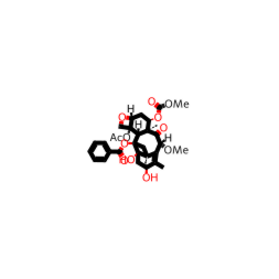 COC(=O)O[C@H]1C[C@H]2OC[C@@]2(OC(C)=O)[C@@H]2[C@]1(C)C(=O)[C@H](OC)C1=C(C)[C@@H](O)C[C@]3(O)[C@@]1(C)C[C@@]23OC(=O)c1ccccc1